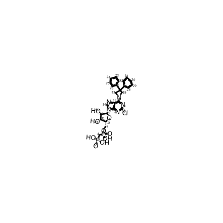 O=P(O)(O)CP(=O)(O)OC[C@H]1O[C@@H](n2cnc3c(N4CC(c5ccccc5)(c5ccccc5)C4)nc(Cl)nc32)C(O)[C@H]1O